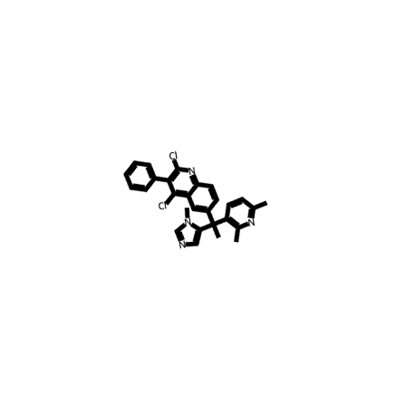 Cc1ccc(C(C)(c2ccc3nc(Cl)c(-c4ccccc4)c(Cl)c3c2)c2cncn2C)c(C)n1